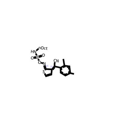 CCCCCCCCNS(=O)(=O)O/N=C1\SC=C\C1=C(\C#N)c1ccc(C)cc1C